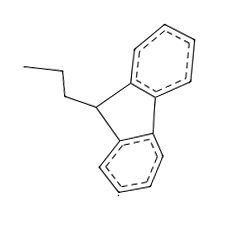 CCCC1c2c[c]ccc2-c2ccccc21